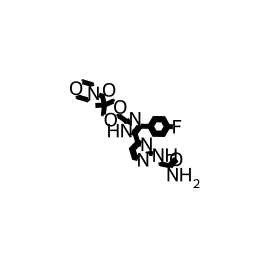 CC1(C(=O)N2CCOCC2)COC(c2nc(-c3ccc(F)cc3)c(-c3ccnc(NCC(N)=O)n3)[nH]2)OC1